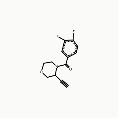 C#CC1COCCN1C(=O)c1ccc(F)c(F)c1